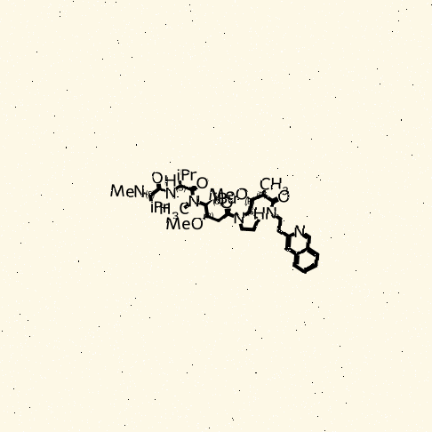 CC[C@H](C)C([C@@H](CC(=O)N1CCC[C@H]1[C@H](OC)[C@@H](C)C(=O)NCCc1cc2ccccc2cn1)OC)N(C)C(=O)[C@@H](NC(=O)[C@@H](NC)C(C)C)C(C)C